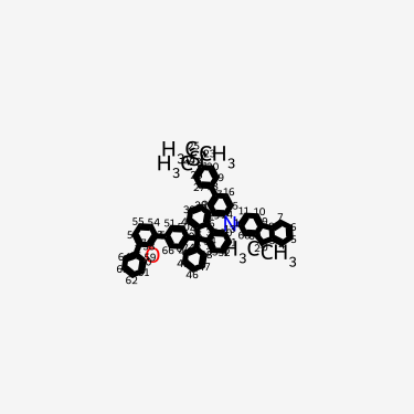 CC1(C)c2ccccc2-c2ccc(N(c3ccc(-c4ccc([Si](C)(C)C)cc4)cc3)c3cccc4c3-c3ccccc3C4(c3ccccc3)c3ccc(-c4cccc5c4oc4ccccc45)cc3)cc21